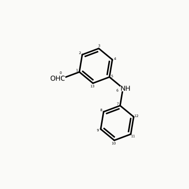 O=Cc1cccc(Nc2ccccc2)c1